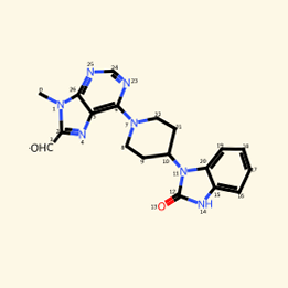 Cn1c([C]=O)nc2c(N3CCC(n4c(=O)[nH]c5ccccc54)CC3)ncnc21